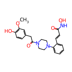 COc1cc(CC(=O)N2CCN(c3ccccc3/C=C/C(=O)NO)CC2)ccc1O